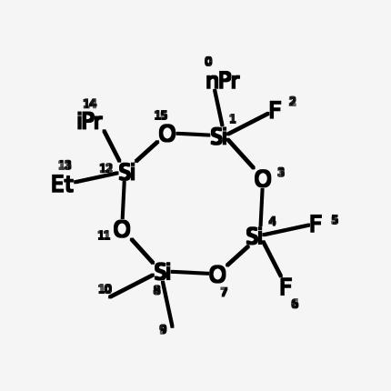 CCC[Si]1(F)O[Si](F)(F)O[Si](C)(C)O[Si](CC)(C(C)C)O1